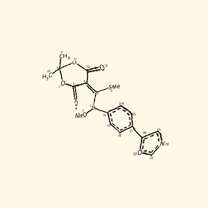 CON(C(SC)=C1C(=O)OC(C)(C)OC1=O)c1ccc(-c2cnco2)cc1